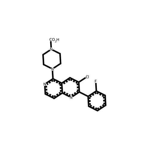 O=C(O)N1CCN(c2nccc3nc(-c4ccccc4F)c(Cl)cc23)CC1